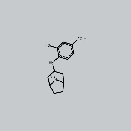 CN1C2CCC1CC(Nc1ccc(C(=O)O)cc1O)C2